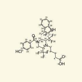 Cl.O=C(O)CCCCN1C(C(F)(F)F)CN(C(=O)c2ccccc2)[C@H](Cc2c[nH]c3ccccc23)C1C(F)(F)F